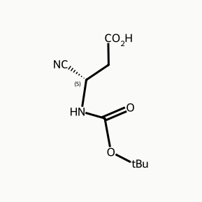 CC(C)(C)OC(=O)N[C@H](C#N)CC(=O)O